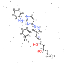 O=C(O)C[C@H](O)C[C@H](O)/C=C/c1cnn(-c2ccnc(Nc3ccccc3)n2)c1-c1cccc(C(F)(F)F)c1